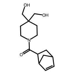 O=C(C1CC2C=CC1C2)N1CCC(CO)(CO)CC1